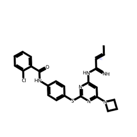 C/C=C/C(=N)Nc1cc(N2CCC2)nc(Sc2ccc(NC(=O)c3ccccc3Cl)cc2)n1